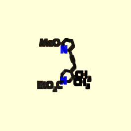 CCOC(=O)N1CC/C(=C\C#Cc2cccc(OC)n2)C(C)(C)C1